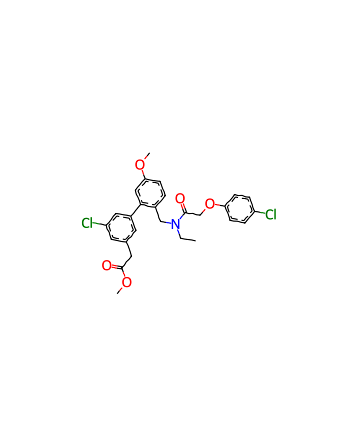 CCN(Cc1ccc(OC)cc1-c1cc(Cl)cc(CC(=O)OC)c1)C(=O)COc1ccc(Cl)cc1